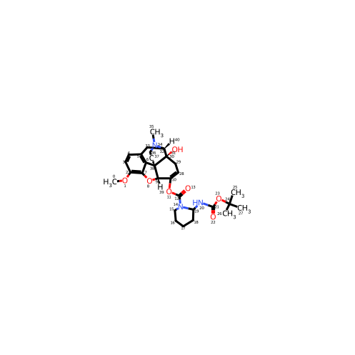 COc1ccc2c3c1O[C@H]1C(OC(=O)N4CCCCC4NC(=O)OC(C)(C)C)=CC[C@@]4(O)[C@@H](C2)N(C)CC[C@]314